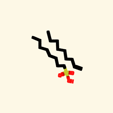 C=CCCCCCCC.CCCCCCCCS(=O)(=O)O